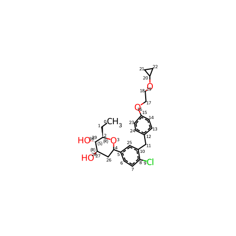 CC[C@H]1OC(c2ccc(Cl)c(Cc3ccc(OCCOC4CC4)cc3)c2)C[C@@H](O)[C@@H]1O